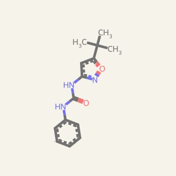 CC(C)(C)c1cc(NC(=O)Nc2c[c]ccc2)no1